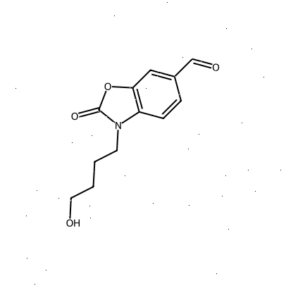 O=Cc1ccc2c(c1)oc(=O)n2CCCCO